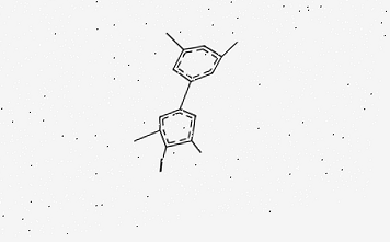 Cc1cc(C)cc(-c2cc(C)c(I)c(C)c2)c1